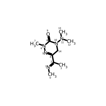 C/N=C(\C)C1=NN(C)C(=O)N(N(C)C)C1